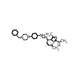 C=N/C=C\C(=N/CNc1ccc(N2CCN(Cc3ccccc3)CC2)cc1)c1sc(NC)nc1C